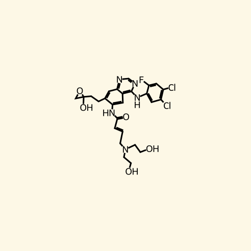 O=C(/C=C/CN(CCO)CCO)Nc1cc2c(Nc3cc(Cl)c(Cl)cc3F)ncnc2cc1CCC1(O)CO1